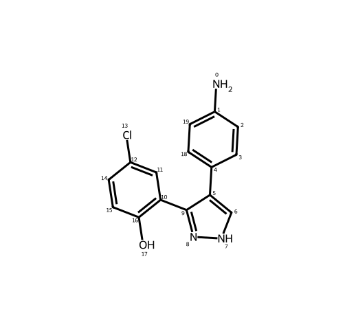 Nc1ccc(-c2c[nH]nc2-c2cc(Cl)ccc2O)cc1